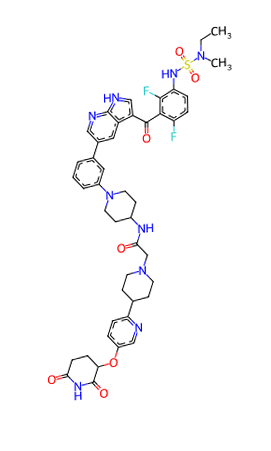 CCN(C)S(=O)(=O)Nc1ccc(F)c(C(=O)c2c[nH]c3ncc(-c4cccc(N5CCC(NC(=O)CN6CCC(c7ccc(OC8CCC(=O)NC8=O)cn7)CC6)CC5)c4)cc23)c1F